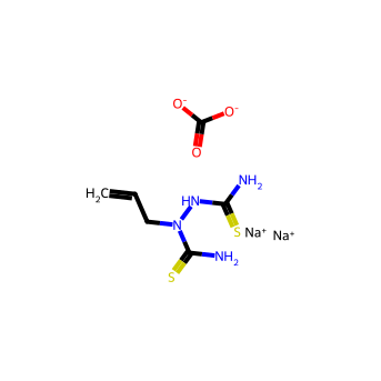 C=CCN(NC(N)=S)C(N)=S.O=C([O-])[O-].[Na+].[Na+]